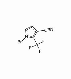 N#Cc1ccn(Br)c1C(F)(F)F